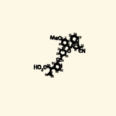 COc1ccc(C(=O)N(CC(C)(C)C#N)c2ccccn2)c(N2CCC(COc3cc(C(CC(=O)O)C4CC4)ccn3)CC2)c1